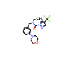 CCN(Cc1cccc(N2CCOCC2)c1)C(=O)n1cc(C(F)(F)F)cn1